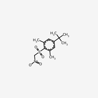 Cc1cc(C(C)(C)C)cc(C)c1S(=O)(=O)C[N+](=O)[O-]